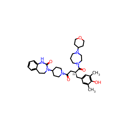 Cc1cc(C[C@@H](CC(=O)N2CCC(N3CCc4ccccc4NC3=O)CC2)C(=O)N2CCCN(C3CCOCC3)CC2)cc(C)c1O